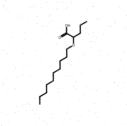 CCCCCCCCCCOC(CCC)C(=O)O